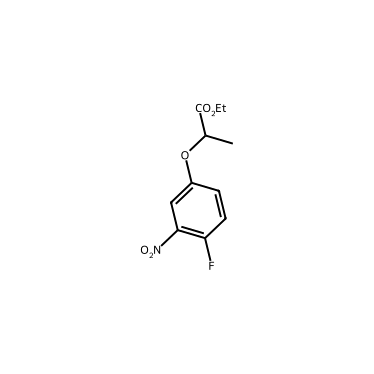 CCOC(=O)C(C)Oc1ccc(F)c([N+](=O)[O-])c1